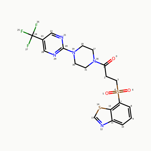 O=C(CCS(=O)(=O)c1cccc2ncsc12)N1CCN(c2ncc(C(F)(F)F)cn2)CC1